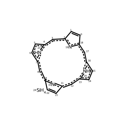 C1=Cc2cc3ccc(cc4nc(cc5ccc(cc1n2)[nH]5)C=C4)[nH]3.[SiH4]